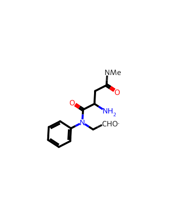 CNC(=O)CC(N)C(=O)N(C[C]=O)c1ccccc1